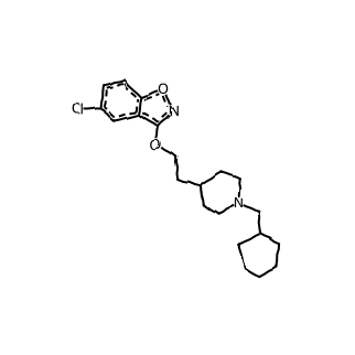 Clc1ccc2onc(OCCC3CCN(CC4CCCCC4)CC3)c2c1